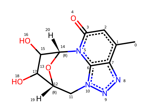 Cc1cc(=O)n2c3c1nnn3C[C@H]1O[C@@H]2C(O)C1O